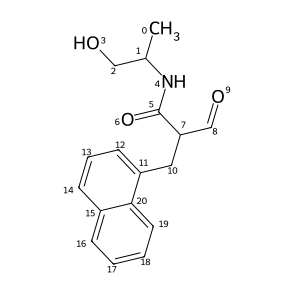 CC(CO)NC(=O)C(C=O)Cc1cccc2ccccc12